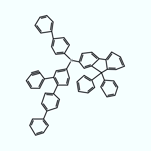 c1cccc(-c2cc(N(c3ccc(-c4ccccc4)cc3)c3ccc4c(c3)C(c3ccccc3)(c3ccccc3)c3ccccc3-4)ccc2-c2ccc(-c3ccccc3)cc2)c#1